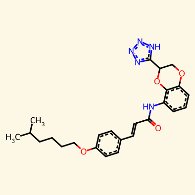 CC(C)CCCCOc1ccc(C=CC(=O)Nc2cccc3c2OC(c2nnn[nH]2)CO3)cc1